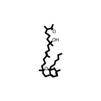 CCCCCCC12OC(C)(CCC/C(C)=C/CCC(C)(O)CCCC(C)C(C)=O)CCC1=CC=C(C)C2C